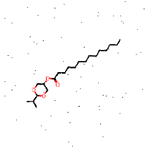 CCCCCCCCCCCCCC(=O)OC1COC(C(C)C)OC1